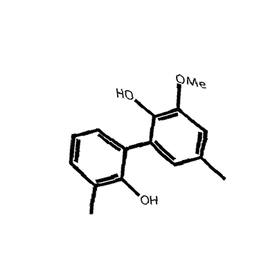 COc1cc(C)cc(-c2cccc(C)c2O)c1O